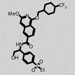 CCS(=O)(=O)c1ccc(C(CO)NC(=O)c2ccc3c(OCC4CCC(C(F)(F)F)CC4)nc(OC)cc3c2)cc1